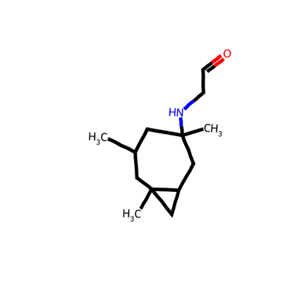 CC1CC(C)(NCC=O)CC2CC2(C)C1